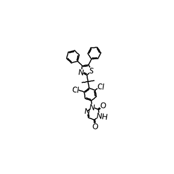 CC(C)(c1nc(-c2ccccc2)c(-c2ccccc2)s1)c1c(Cl)cc(-n2ncc(=O)[nH]c2=O)cc1Cl